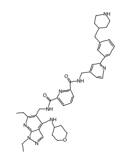 CCc1nc2c(cnn2CC)c(NC2CCOCC2)c1CNC(=O)c1cccc(C(=O)NCc2ccnc(-c3cccc(CC4CCNCC4)c3)c2)n1